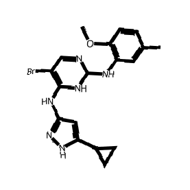 COc1ccc(C)cc1NC1N=CC(Br)=C(Nc2cc(C3CC3)[nH]n2)N1